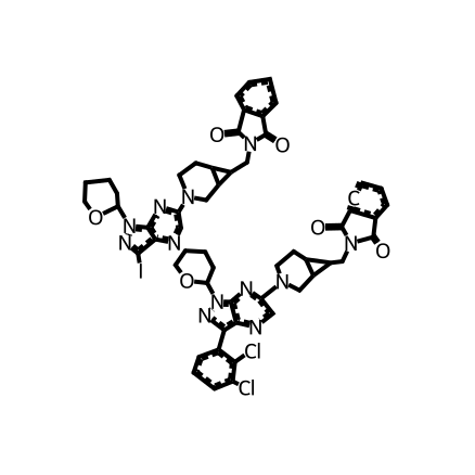 O=C1c2ccccc2C(=O)N1CC1C2CCN(c3cnc4c(-c5cccc(Cl)c5Cl)nn(C5CCCCO5)c4n3)CC21.O=C1c2ccccc2C(=O)N1CC1C2CCN(c3cnc4c(I)nn(C5CCCCO5)c4n3)CC21